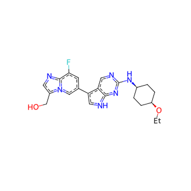 CCO[C@H]1CC[C@@H](Nc2ncc3c(-c4cc(F)c5ncc(CO)n5c4)c[nH]c3n2)CC1